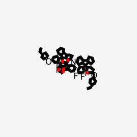 C=Cc1ccc(Oc2ccc(C3(c4ccc(F)c(F)c4F)c4ccccc4-c4ccc(N(c5ccc6c(c5)C(c5ccc(Oc7ccc(C=C)cc7)cc5)(c5ccc(F)c(F)c5F)c5ccccc5-6)c5cccc6c5C(C)(C)c5ccccc5-6)cc43)cc2)cc1